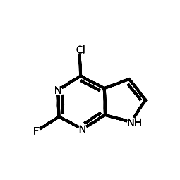 Fc1nc(Cl)c2cc[nH]c2n1